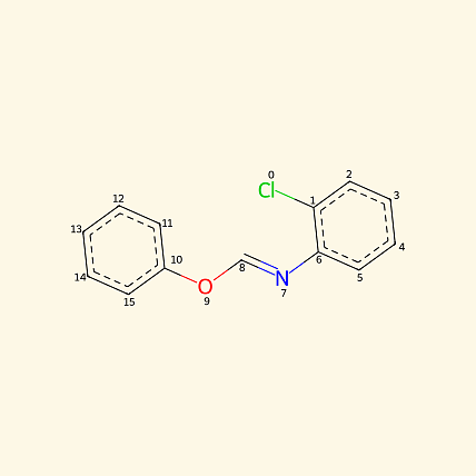 Clc1ccccc1N=COc1ccccc1